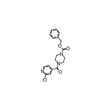 O=C(OCc1ccccc1)N1CCN(C(=O)c2ccnc(Cl)c2)CC1